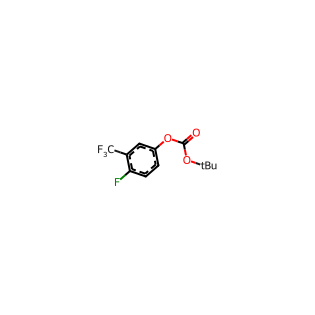 CC(C)(C)OC(=O)Oc1ccc(F)c(C(F)(F)F)c1